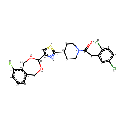 O=C(Cc1cc(Cl)ccc1Cl)N1CCC(c2nc(C3OCc4cccc(F)c4CO3)cs2)CC1